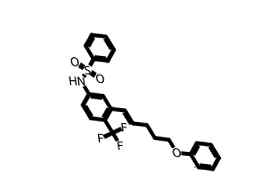 O=S(=O)(Nc1ccc(C(F)(F)F)c(/C=C/CCCOc2[c]cccc2)c1)c1ccccc1